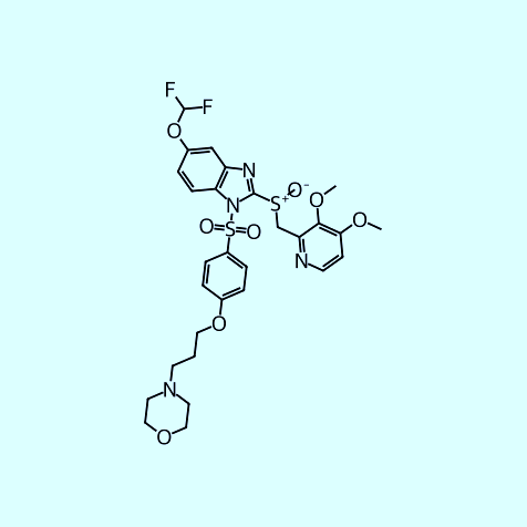 COc1ccnc(C[S+]([O-])c2nc3cc(OC(F)F)ccc3n2S(=O)(=O)c2ccc(OCCCN3CCOCC3)cc2)c1OC